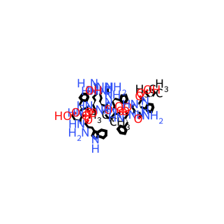 CC[C@H](C)[C@H](NC(=O)[C@H](Cc1ccccc1)NC(=O)[C@H](CCCNC(=N)N)NC(=O)[C@H](CCCNC(=N)N)NC(=O)[C@H](Cc1ccc(O)cc1)NC(=O)[C@H](CC(=O)O)NC(=O)[C@@H](N)Cc1c[nH]c2ccccc12)C(=O)N[C@@H](Cc1ccccc1)C(=O)N[C@@H](CC(N)=O)C(=O)N[C@@H](Cc1ccccc1)C(=O)N[C@@H](CC(C)C)C(=O)O